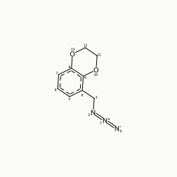 [N-]=[N+]=NCc1cccc2c1OCCO2